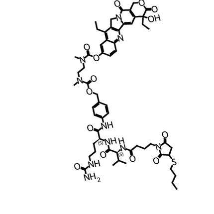 CCCCSC1CC(=O)N(CCCC(=O)N[C@H](C(=O)N[C@@H](CCCNC(N)=O)C(=O)Nc2ccc(COC(=O)N(C)CCN(C)C(=O)Oc3ccc4nc5c(c(CC)c4c3)Cn3c-5cc4c(c3=O)COC(=O)C4(O)CC)cc2)C(C)C)C1=O